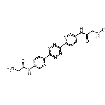 NCC(=O)Nc1ccc(-c2nnc(-c3ccc(NC(=O)CNCl)cn3)nn2)nc1